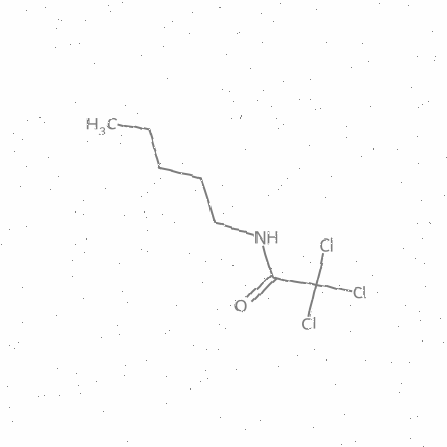 CCCCCNC(=O)C(Cl)(Cl)Cl